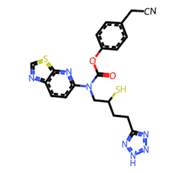 N#CCc1ccc(OC(=O)N(CC(S)CCc2nn[nH]n2)c2ccc3ncsc3n2)cc1